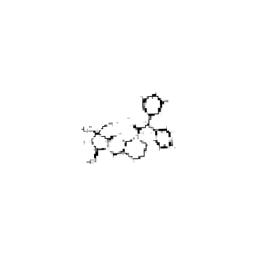 CC(C)CC1(C)NC(=N)N(CC2CCCN(C(=O)C(c3ccccc3)c3ccccc3)C2)C1=O